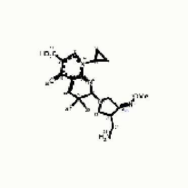 CO/N=C1\CN(C2N=c3c(c(=O)c(C(=O)O)cn3C3CC3)=CC2(C)F)CC1CN